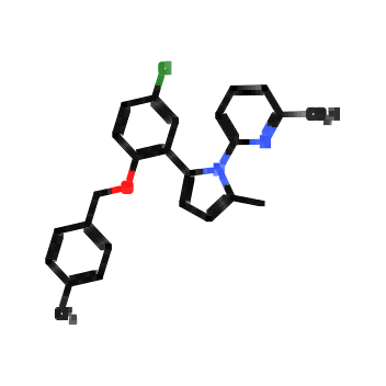 Cc1ccc(-c2cc(Cl)ccc2OCc2ccc(C(F)(F)F)cc2)n1-c1cccc(C(=O)O)n1